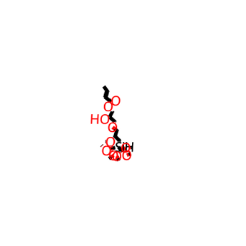 CC=CC(=O)OCC(O)COCCC[SiH](C(OC)(OC)OC)C(OC)(OC)OC